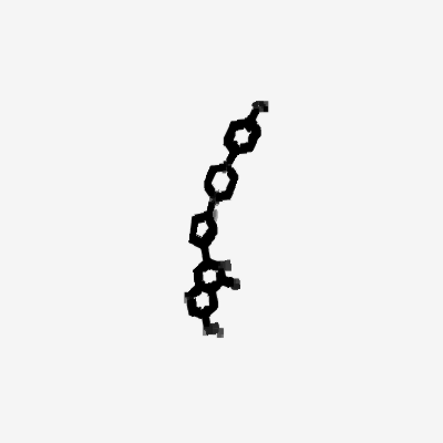 N#Cc1ccc(N2CCN([C@H]3C=C(c4cc5ncc([N+](=O)[O-])cc5c(=O)[nH]4)CC3)CC2)cc1